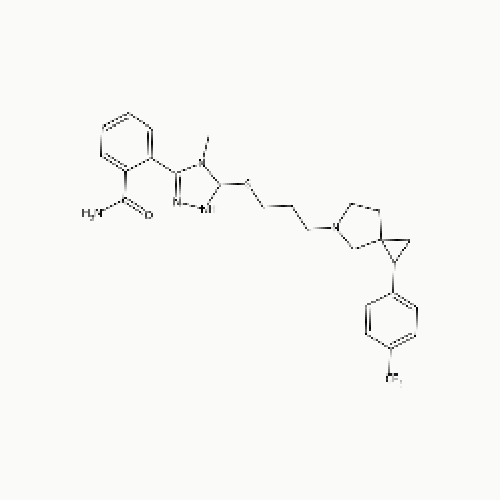 CN1C(c2ccccc2C(N)=O)=NNC1SCCCN1CCC2(CC2c2ccc(C(F)(F)F)cc2)C1